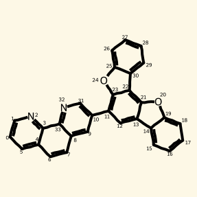 c1cnc2c(c1)ccc1cc(-c3cc4c5ccccc5oc4c4c3oc3ccccc34)cnc12